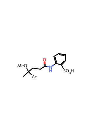 COC(C)(CCC(=O)Nc1ccccc1S(=O)(=O)O)C(C)=O